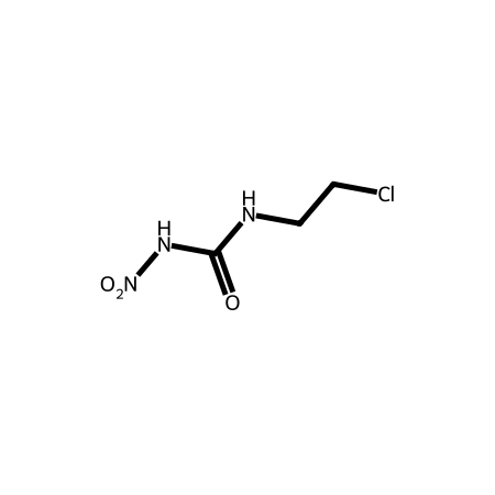 O=C(NCCCl)N[N+](=O)[O-]